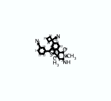 CN1C(=N)C[C@](C)(c2ccc(-c3cccc(C#N)c3)s2)C(c2ccc(C3(C#N)CCC3)cc2)C1=O